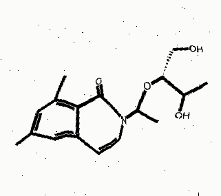 Cc1cc(C)c2c(=O)n(C(C)O[C@H](CO)C(C)O)ccc2c1